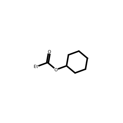 CCC(=O)OC1CC[CH]CC1